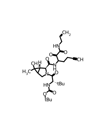 C#CCCC(NC(=O)[C@@H]1[C@@H]2C(CN1C(=O)[C@@H](NC(=O)OC(C)(C)C)C(C)(C)C)C2(C)C)C(=O)C(=O)NCC=C